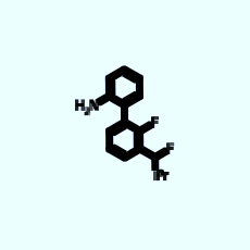 CC(C)[C](F)c1cccc(-c2ccccc2N)c1F